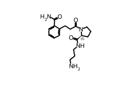 NCCCNC(=O)[C@@H]1CCCN1C(=O)CCc1ccccc1C(N)=O